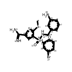 CSc1sc(C(=N)N)cc1[SH](=O)(NC(=O)c1cccc(N)c1)c1cccc(Br)c1